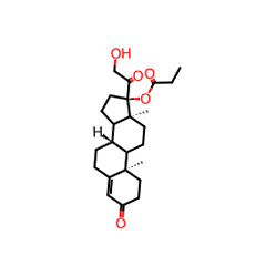 CCC(=O)O[C@]1(C(=O)CO)CCC2[C@H]3CCC4=CC(=O)CC[C@]4(C)C3CC[C@@]21C